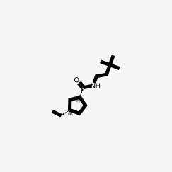 CC[C@H]1CC[C@@H](C(=O)NCCC(C)(C)C)C1